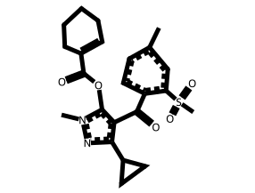 Cc1ccc(C(=O)c2c(C3CC3)nn(C)c2OC(=O)C2=CCCCC2)c(S(C)(=O)=O)c1